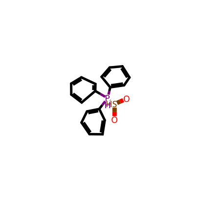 O=[SH](=O)[PH](c1ccccc1)(c1ccccc1)c1ccccc1